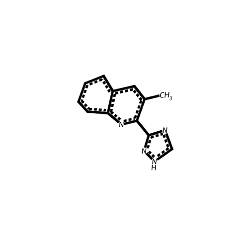 Cc1cc2ccccc2nc1-c1nc[nH]n1